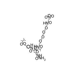 CC(C)C(C)C(=O)OCc1ccc(NC(=O)[C@H](CCCNC(N)=O)NC(=O)C(NC(=O)CCOCCOCCOCCOCCNC(=O)CCN2C(=O)C=CC2=O)C(C)C)cc1